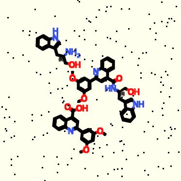 COc1cc(OC)cc(-c2cc(C(=O)N[C@@H](CO)Cc3c[nH]c4ccccc34)c3ccccc3n2)c1.COc1cc(OC)cc(-c2cc(C(=O)O)c3ccccc3n2)c1.N[C@@H](CO)Cc1c[nH]c2ccccc12